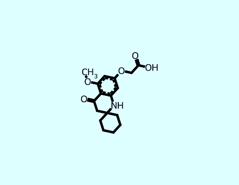 COc1cc(OCC(=O)O)cc2c1C(=O)CC1(CCCCC1)N2